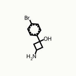 NC1CC(O)(c2ccc(Br)cc2)C1